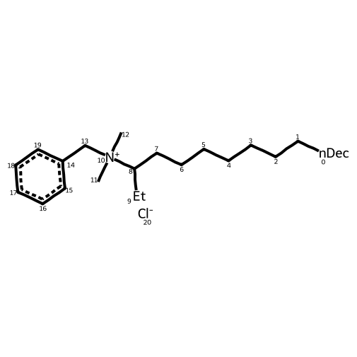 CCCCCCCCCCCCCCCCCC(CC)[N+](C)(C)Cc1ccccc1.[Cl-]